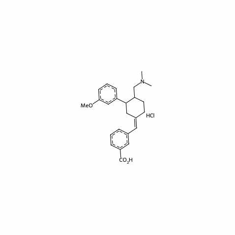 COc1cccc(C2CC(=Cc3cccc(C(=O)O)c3)CCC2CN(C)C)c1.Cl